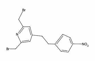 O=[N+]([O-])c1ccc(CCc2cc(CBr)nc(CBr)c2)cc1